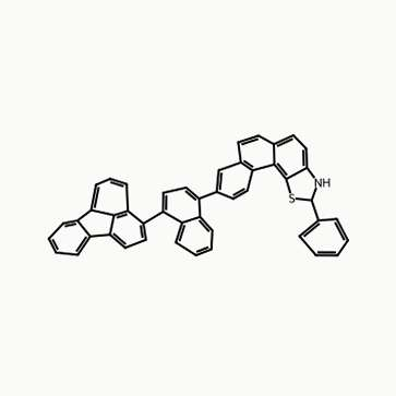 c1ccc(C2Nc3ccc4ccc5cc(-c6ccc(-c7ccc8c9c(cccc79)-c7ccccc7-8)c7ccccc67)ccc5c4c3S2)cc1